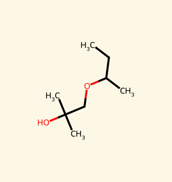 CCC(C)OCC(C)(C)O